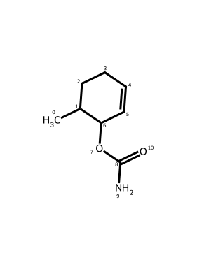 CC1CCC=CC1OC(N)=O